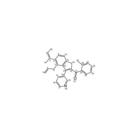 C=CCc1c(/C(C)=C\C)ccc2c1C(c1cccnc1)=C(C(=O)c1ccccc1C)C2